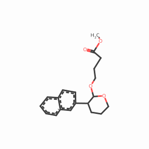 COC(=O)CCCOC1OCCCC1c1ccc2ccccc2c1